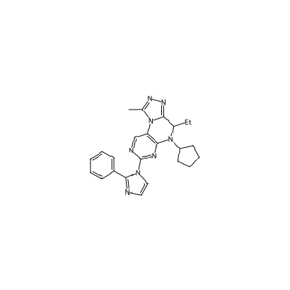 CCC1c2nnc(C)n2-c2cnc(-n3ccnc3-c3ccccc3)nc2N1C1CCCC1